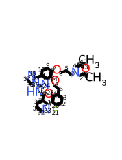 C[C@@H]1CN(CCCOc2ccc3c(c2OCCc2ccc(F)cc2)N=C(NC(=O)c2cccnc2)N2CCN=C32)C[C@H](C)O1